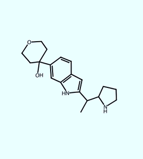 CC(c1cc2ccc(C3(O)CCOCC3)cc2[nH]1)C1CCCN1